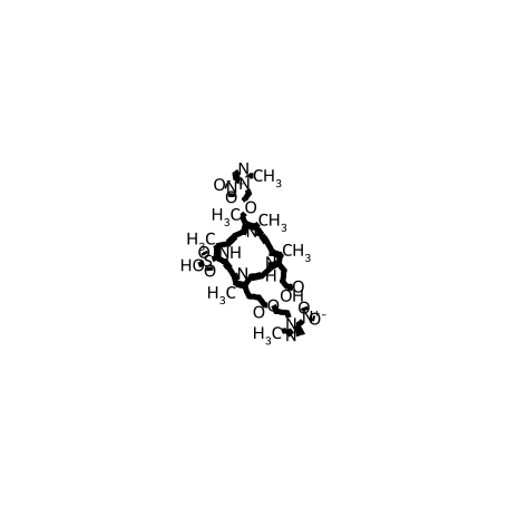 CC1=C(CCC(=O)OCCn2c([N+](=O)[O-])cnc2C)c2cc3[nH]c(cc4nc(cc5[nH]c(cc1n2)c(S(=O)(=O)O)c5C)C(C(C)OCCn1c([N+](=O)[O-])cnc1C)=C4C)c(C)c3CCC(=O)O